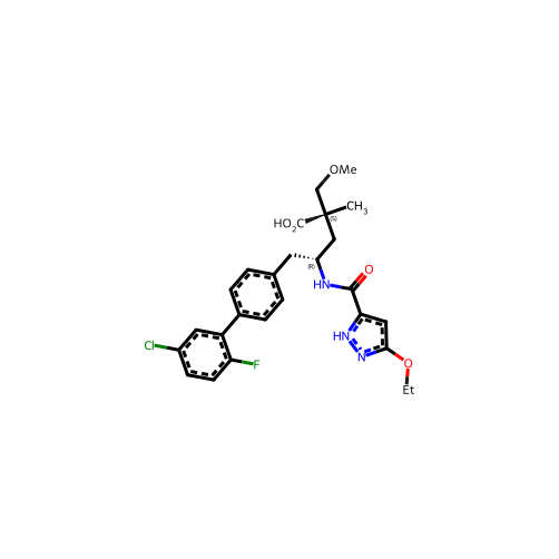 CCOc1cc(C(=O)N[C@H](Cc2ccc(-c3cc(Cl)ccc3F)cc2)C[C@@](C)(COC)C(=O)O)[nH]n1